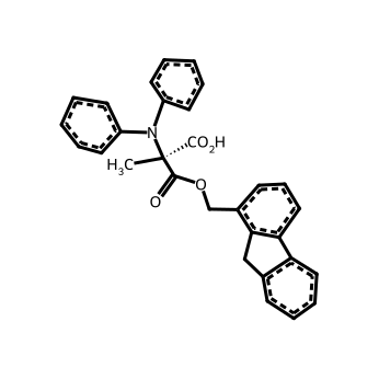 C[C@](C(=O)O)(C(=O)OCc1cccc2c1Cc1ccccc1-2)N(c1ccccc1)c1ccccc1